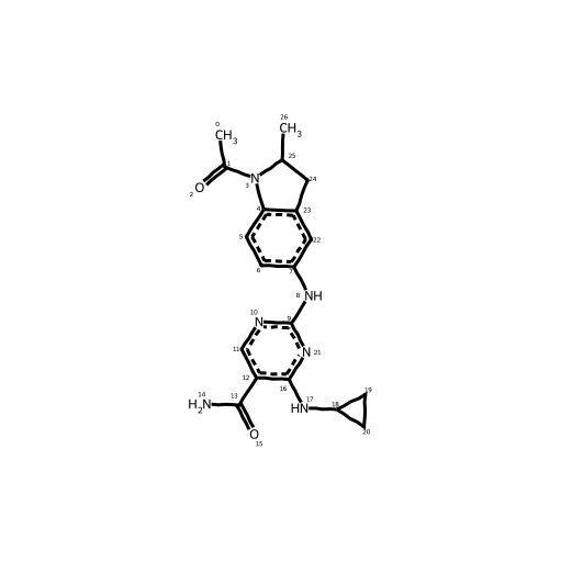 CC(=O)N1c2ccc(Nc3ncc(C(N)=O)c(NC4CC4)n3)cc2CC1C